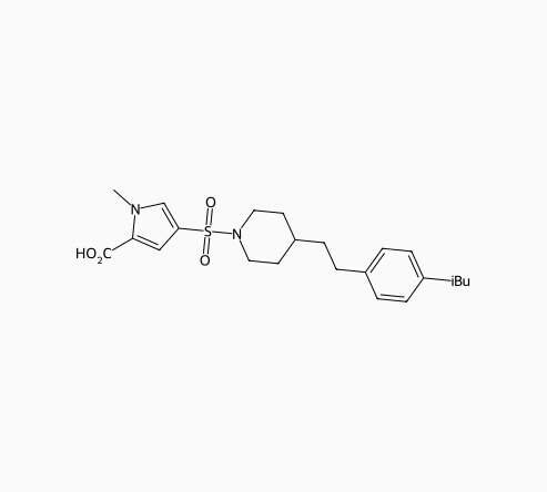 CCC(C)c1ccc(CCC2CCN(S(=O)(=O)c3cc(C(=O)O)n(C)c3)CC2)cc1